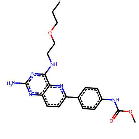 CCCOCCNc1nc(N)nc2ccc(-c3ccc(NC(=O)OC)cc3)nc12